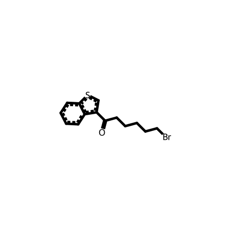 O=C(CCCCCBr)c1csc2ccccc12